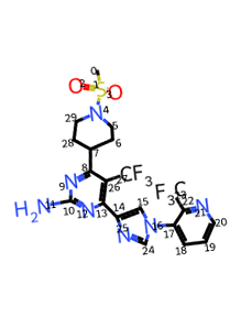 CS(=O)(=O)N1CCC(c2nc(N)nc(-c3cn(-c4cccnc4C(F)(F)F)cn3)c2C(F)(F)F)CC1